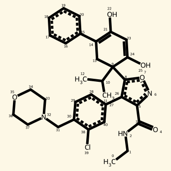 CCNC(=O)c1noc(C2(C(C)C)CC(c3ccccc3)=C(O)C=C2O)c1-c1ccc(CN2CCOCC2)c(Cl)c1